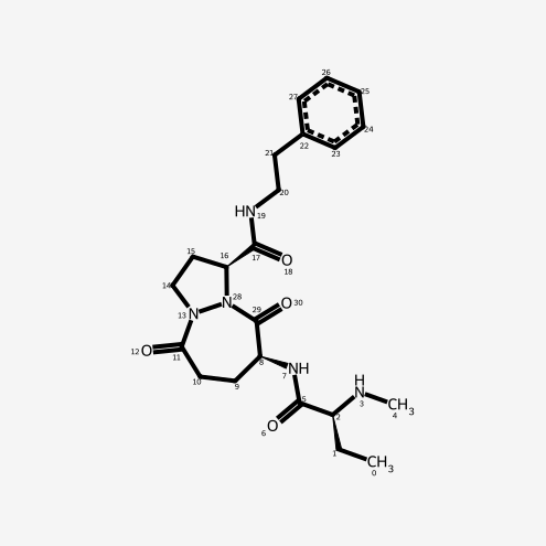 CC[C@H](NC)C(=O)N[C@H]1CCC(=O)N2CC[C@@H](C(=O)NCCc3ccccc3)N2C1=O